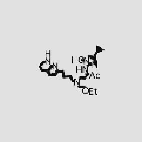 CCOCCN(CCCCc1ccc2c(n1)NCCC2)CC[C@H](Nc1ncc(C2CC2)c[n+]1O)C(C)=O